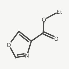 CCOC(=O)c1co[c]n1